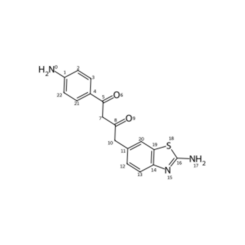 Nc1ccc(C(=O)CC(=O)Cc2ccc3nc(N)sc3c2)cc1